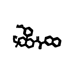 CC(=O)Oc1cccc([C@]23CC[N@@+](C)(CC(C)C)CC2CC[C@H](NC(=O)c2ccc4ccccc4c2)C3)c1